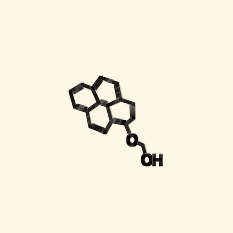 OCOc1ccc2ccc3cccc4ccc1c2c34